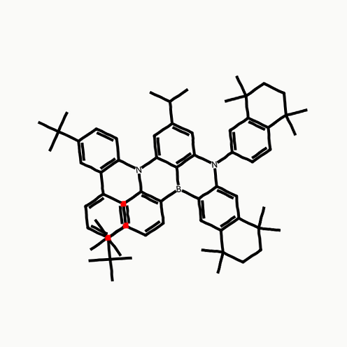 CC(C)c1cc2c3c(c1)N(c1ccc(C(C)(C)C)cc1-c1ccc(C(C)(C)C)cc1)c1cc(C(C)(C)C)ccc1B3c1cc3c(cc1N2c1ccc2c(c1)C(C)(C)CCC2(C)C)C(C)(C)CCC3(C)C